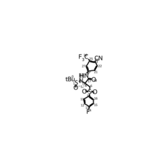 CC(C)(C)[S+]([O-])N[C@](C)(CS(=O)(=O)c1ccc(F)cc1)C(=O)Nc1ccc(C#N)c(C(F)(F)F)c1